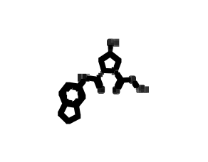 CC(C)(C)OC(=O)N1C[C@H](O)C[C@H]1C(=O)Nc1ccc2c(c1)CCC2